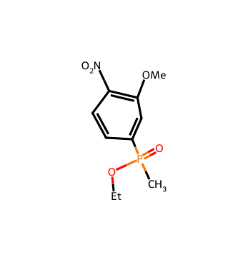 CCOP(C)(=O)c1ccc([N+](=O)[O-])c(OC)c1